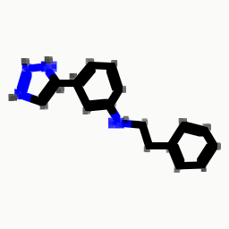 c1ccc(CCNc2cccc(-c3cnn[nH]3)c2)cc1